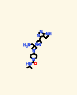 CC(C)NC(=O)N1CCC(N2CC(CN)(n3cc(-c4ncnc5[nH]ccc45)cn3)C2)CC1